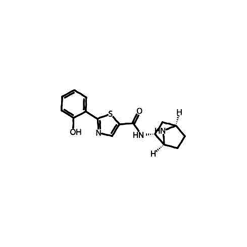 O=C(N[C@@H]1C[C@H]2CC[C@@H]1N2)c1cnc(-c2ccccc2O)s1